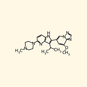 COc1cc(-c2[nH]c3ccc(N4CCN(C)CC4)nc3c2C(C)C)cn2ncnc12